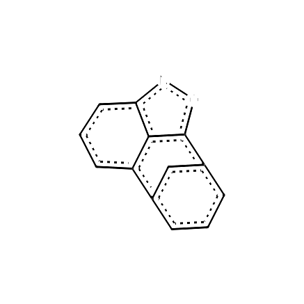 c1cc2cc(c1)c1onc3cccc2c31